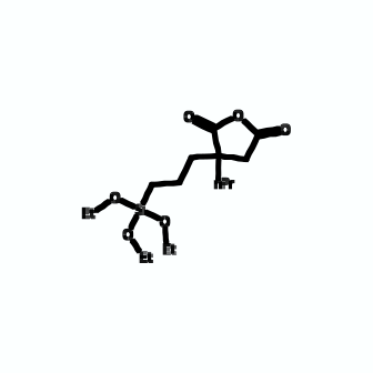 CCCC1(CCC[Si](OCC)(OCC)OCC)CC(=O)OC1=O